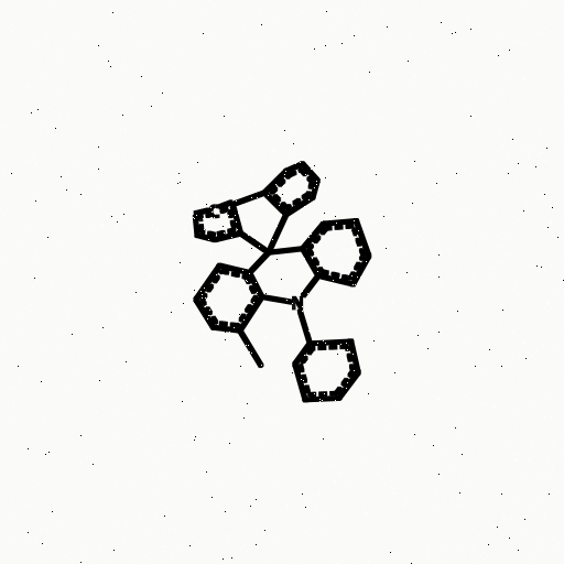 Cc1cccc2c1N(c1ccccc1)c1ccccc1C21c2ccccc2-c2ccccc21